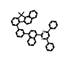 CC1(C)c2cccc(-c3cccc(-c4ccc(-c5nc(-c6ccccc6)cc(-c6ccccc6)n5)c5ccccc45)c3)c2-c2ccc3ccccc3c21